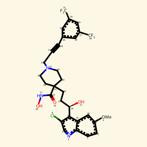 COc1ccc2ncc(Cl)c([C@H](O)CCC3(C(=O)NO)CCN(CC#Cc4cc(C(F)(F)F)cc(C(F)(F)F)c4)CC3)c2c1